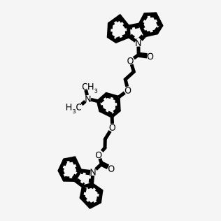 CN(C)c1cc(OCCOC(=O)n2c3ccccc3c3ccccc32)cc(OCCOC(=O)n2c3ccccc3c3ccccc32)c1